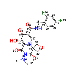 COC1N(N(C)C)C(=O)c2c(O)c(=O)c(C(=O)NCc3ccc(F)cc3F)cn2C12COC2